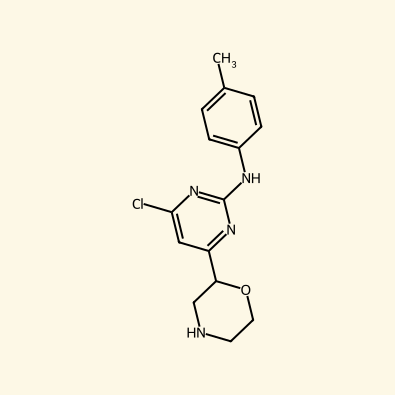 Cc1ccc(Nc2nc(Cl)cc(C3CNCCO3)n2)cc1